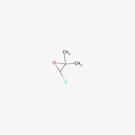 CC1(C)OC1F